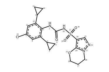 O=C(Nc1c(C2CC2)cc(Cl)cc1C1CC1)NS(=O)(=O)c1cnn2c1OCCC2